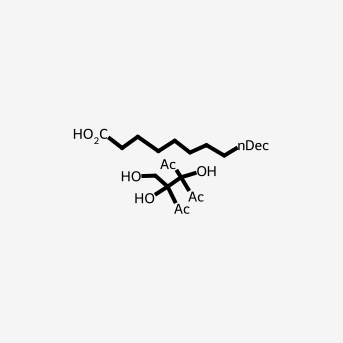 CC(=O)C(O)(CO)C(O)(C(C)=O)C(C)=O.CCCCCCCCCCCCCCCCCC(=O)O